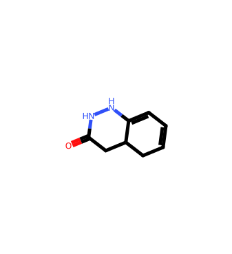 O=C1CC2CC=CC=C2NN1